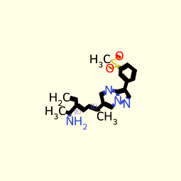 C=C/C(=C\C=C(/C)c1cnc2c(-c3cccc(S(C)(=O)=O)c3)cnn2c1)C(C)N